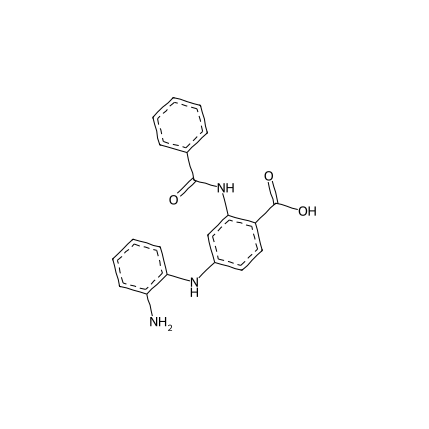 Nc1ccccc1Nc1ccc(C(=O)O)c(NC(=O)c2ccccc2)c1